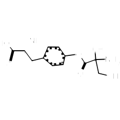 CCC(C)(N)C(=O)Oc1ccc(C[C@@H](N)C(=O)O)cc1